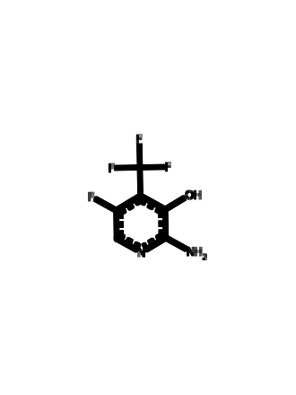 Nc1ncc(F)c(C(F)(F)F)c1O